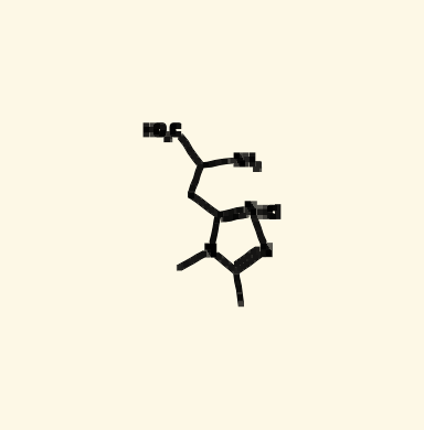 Cc1nnc(CC(N)C(=O)O)n1C.Cl